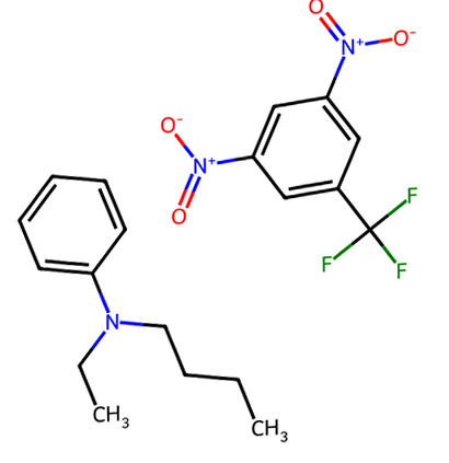 CCCCN(CC)c1ccccc1.O=[N+]([O-])c1cc([N+](=O)[O-])cc(C(F)(F)F)c1